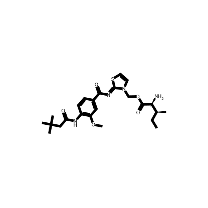 CC[C@H](C)[C@H](N)C(=O)OCn1ccs/c1=N\C(=O)c1ccc(NC(=O)CC(C)(C)C)c(OC)c1